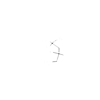 CCCC(C)(CC)CC(C)(C)CC(=O)O